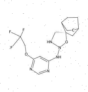 FC(F)(F)COc1cc(NN2NC[C@]3(CC4CCC3CC4)O2)ncn1